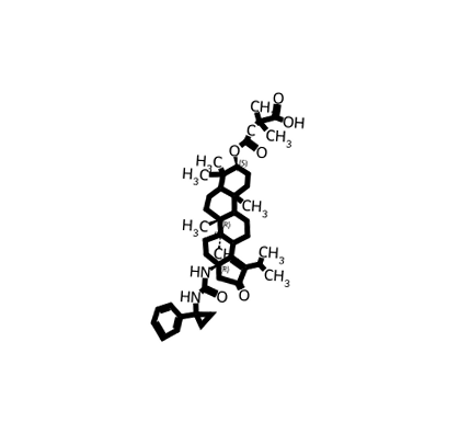 CC(C)C1=C2C3CCC4C5(C)CC[C@H](OC(=O)CC(C)(C)C(=O)O)C(C)(C)C5CC[C@@]4(C)[C@]3(C)CC[C@@]2(NC(=O)NC2(c3ccccc3)CC2)CC1=O